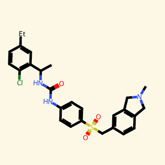 CCc1ccc(Cl)c(C(C)NC(=O)Nc2ccc(S(=O)(=O)Cc3ccc4c(c3)CN(C)C4)cc2)c1